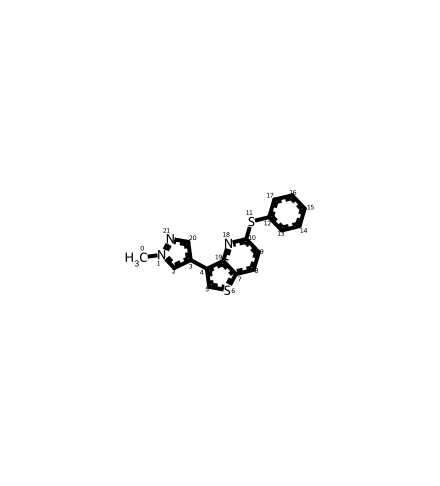 Cn1cc(-c2csc3ccc(Sc4ccccc4)nc23)cn1